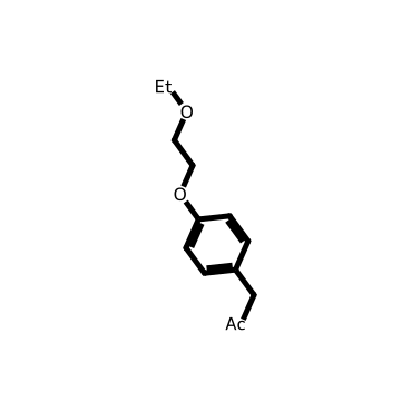 CCOCCOc1ccc(CC(C)=O)cc1